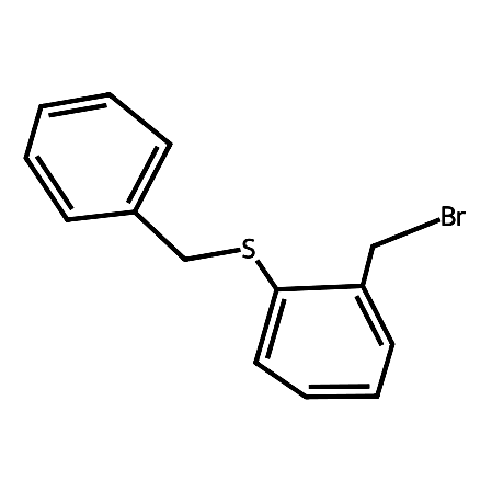 BrCc1ccccc1SCc1ccccc1